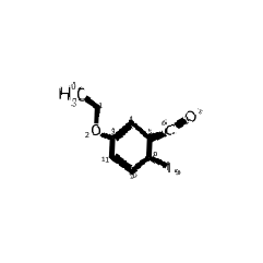 CCOC1=CC(=C=O)C(I)C=C1